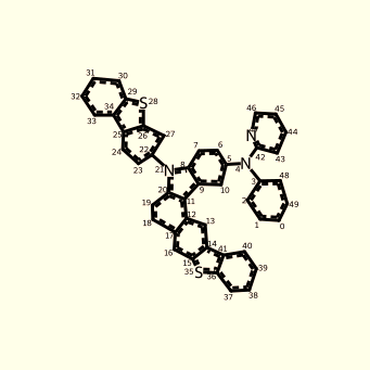 c1ccc(N(c2ccc3c(c2)c2c4cc5c(cc4ccc2n3-c2ccc3c(c2)sc2ccccc23)sc2ccccc25)c2ccccn2)cc1